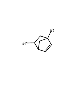 CCC12C=CC(C1)C(C(C)C)C2